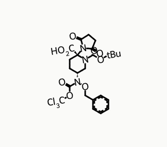 CC(C)(C)OC(=O)N1C[C@H](N(OCc2ccccc2)C(=O)OC(Cl)(Cl)Cl)CC[C@]1(C(=O)O)N1C(=O)CCC1=O